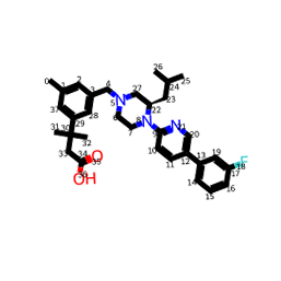 Cc1cc(CN2CCN(c3ccc(-c4cccc(F)c4)cn3)[C@H](CC(C)C)C2)cc(C(C)(C)CC(=O)O)c1